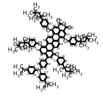 CN(C)c1ccc(N(c2ccc(-c3cc(Oc4ccc(C(C)(C)CC(C)(C)C)cc4)c4c5ccc6c7c(Oc8ccc(C(C)(C)CC(C)(C)C)cc8)cc8c9c(cc(Oc%10ccc(C(C)(C)CC(C)(C)C)cc%10)c(c%10ccc(c%11c(Oc%12ccc(C(C)(C)CC(C)(C)C)cc%12)ccc3c%114)c5c%106)c97)C(=O)OC8=O)cc2)c2ccc(N(C)C)cc2)cc1